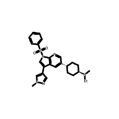 CCN(C)[C@H]1CC[C@H](c2cnc3c(c2)c(-c2cnn(C)c2)cn3S(=O)(=O)c2ccccc2)CC1